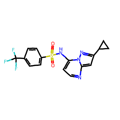 O=S(=O)(Nc1ccnc2cc(C3CC3)nn12)c1ccc(C(F)(F)F)cc1